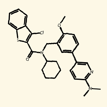 COc1ccc(-c2ccc(N(C)C)nc2)cc1CN(C(=O)c1sc2ccccc2c1Cl)C1CCCCC1